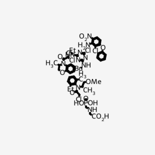 CC1COc2ccccc2N1C(=O)C(Cl)Cl.CCNc1nc(Cl)nc(NC(C)(C)C)n1.CCc1cccc(C)c1N(C(=O)CCl)C(C)COC.Nc1c([N+](=O)[O-])ccc(Oc2ccccc2)c1Cl.O=C(O)CNCP(=O)(O)O